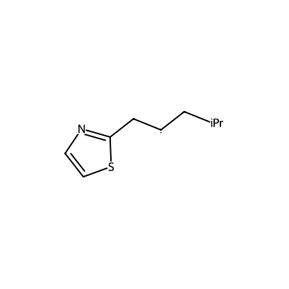 CC(C)C[CH]Cc1nccs1